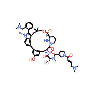 CCn1c(-c2ccccc2CN(C)C)c2c3cc(ccc31)-c1cc(O)cc(c1)C[C@H](NC(=O)[C@H](C(C)C)N(C)C(=O)[C@H]1CCN(C(=O)/C=C/CN(C)C)C1)C(=O)N1CCC[C@H](N1)C(=O)OCC(C)(C)C2